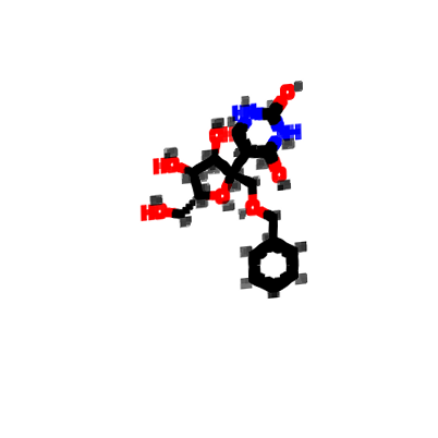 O=c1[nH]cc([C@]2(COCc3ccccc3)O[C@H](CO)[C@@H](O)[C@H]2O)c(=O)[nH]1